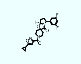 O=C(c1cc(C2CC2)on1)N1CCC2(CC1)O[C@@H]1CC[C@@H](c3cc(F)cc(F)c3)N1C2=O